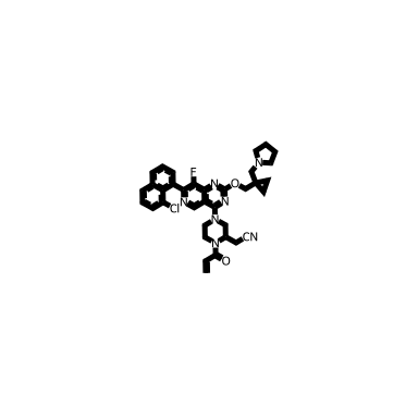 C=CC(=O)N1CCN(c2nc(OCC3(CN4CCCC4)CC3)nc3c(F)c(-c4cccc5cccc(Cl)c45)ncc23)CC1CC#N